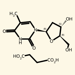 Cc1cn([C@H]2C[C@H](O)[C@@H](CO)O2)c(=O)[nH]c1=O.O=C(O)CCC(=O)O